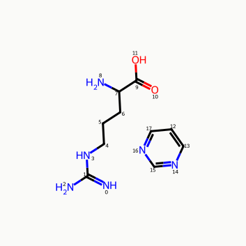 N=C(N)NCCCC(N)C(=O)O.c1cncnc1